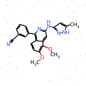 COc1ccc2c(-c3cccc(C#N)c3)nc(Nc3cc(C)[nH]n3)cc2c1OC